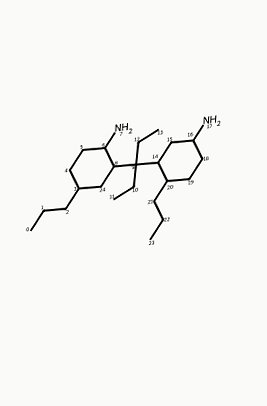 CCCC1CCC(N)C(C(CC)(CC)C2CC(N)CCC2CCC)C1